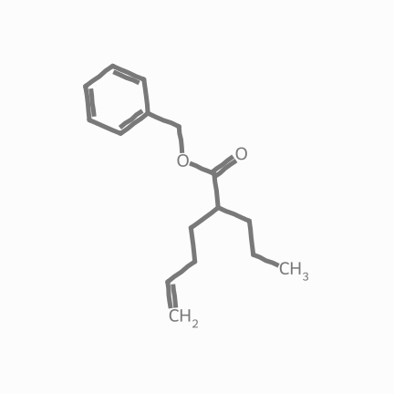 C=CCCC(CCC)C(=O)OCc1ccccc1